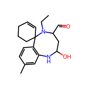 CCN1C(C=O)CC(O)Nc2cc(C)ccc2C12C=CCCC2